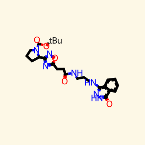 CC(C)(C)OC(=O)N1CCCC1c1noc(CCC(=O)NCCCNc2n[nH]c(=O)c3ccccc23)n1